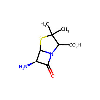 CC1(C)SC2[C@H](N)C(=O)N2C1C(=O)O